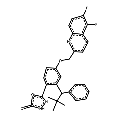 CC(C)(C)C(c1ccccc1)c1cc(OCc2ccc3c(F)c(F)ccc3n2)ccc1-c1n[nH]c(=O)o1